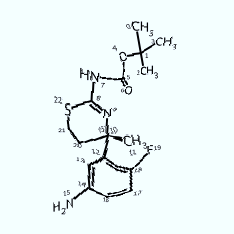 CC(C)(C)OC(=O)NC1=N[C@](C)(c2cc(N)ccc2F)CCS1